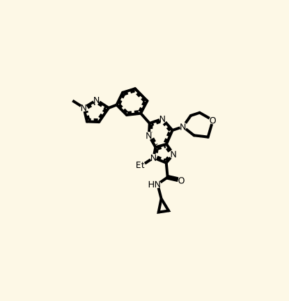 CCn1c(C(=O)NC2CC2)nc2c(N3CCOCC3)nc(-c3cccc(-c4ccn(C)n4)c3)nc21